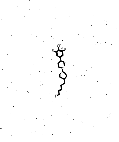 FCC=CCC[C@H]1CC[C@H]([C@H]2CC[C@H](c3cc(F)c(C(F)(F)F)c(F)c3)CC2)CC1